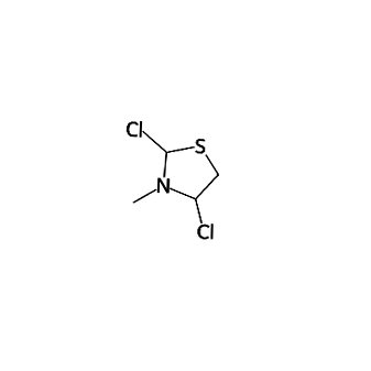 CN1C(Cl)CSC1Cl